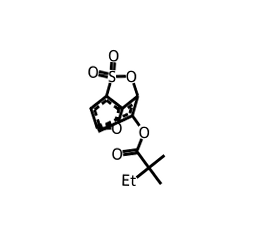 CCC(C)(C)C(=O)Oc1c2c3oc1cc3S(=O)(=O)O2